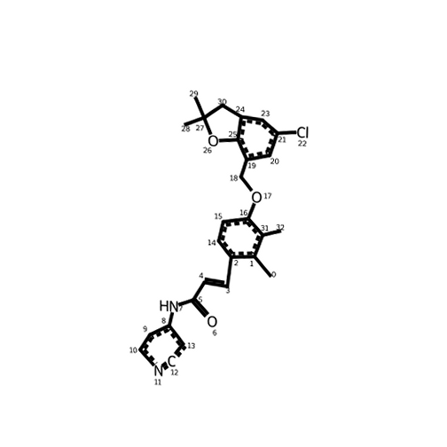 Cc1c(C=CC(=O)Nc2ccncc2)ccc(OCc2cc(Cl)cc3c2OC(C)(C)C3)c1C